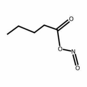 CCCCC(=O)ON=O